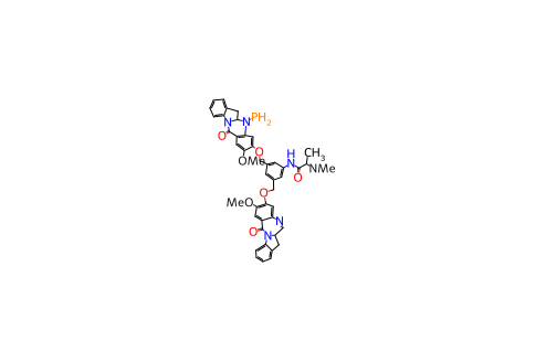 CNC(C)C(=O)Nc1cc(COc2cc3c(cc2OC)C(=O)N2c4ccccc4CC2C=N3)cc(COc2cc3c(cc2OC)C(=O)N2c4ccccc4CC2N3P)c1